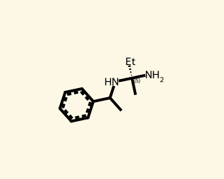 CC[C@@](C)(N)NC(C)c1ccccc1